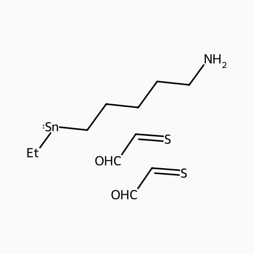 C[CH2][Sn][CH2]CCCCN.O=CC=S.O=CC=S